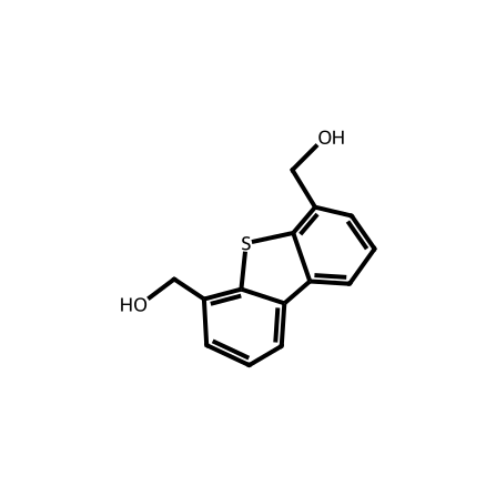 OCc1cccc2c1sc1c(CO)cccc12